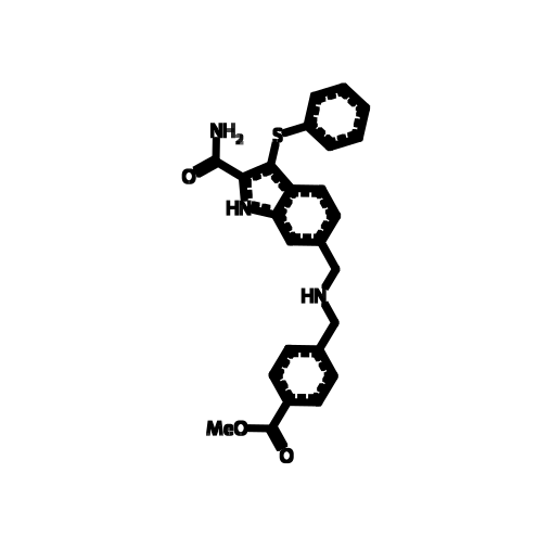 COC(=O)c1ccc(CNCc2ccc3c(Sc4ccccc4)c(C(N)=O)[nH]c3c2)cc1